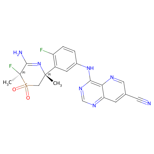 C[C@]1(F)C(N)=N[C@](C)(c2cc(Nc3ncnc4cc(C#N)cnc34)ccc2F)CS1(=O)=O